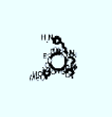 CC[C@H]1OC(=O)[C@H](C)[C@@H](OC2C[C@@](C)(OC)[C@@H](O)[C@H](C)O2)[C@H](C)[C@@H](O[C@@H]2O[C@H](C)C[C@H](N(C)CCc3cn(CCCCc4ccc(N)cc4)nn3)[C@H]2O)[C@](C)(O)C[C@@H](C)CN(C)[C@H](C)[C@@H](O)[C@]1(C)O